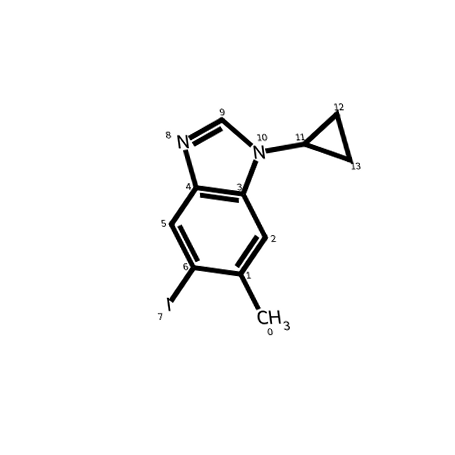 Cc1cc2c(cc1I)ncn2C1CC1